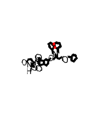 O=C1CCC(N2C(=O)c3ccc(OCC(CCOCc4ccccc4)N(Cc4ccccc4)Cc4ccccc4)cc3C2=O)C(=O)N1